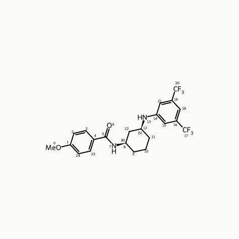 COc1ccc(C(=O)N[C@@H]2CCC[C@H](Nc3cc(C(F)(F)F)cc(C(F)(F)F)c3)C2)cc1